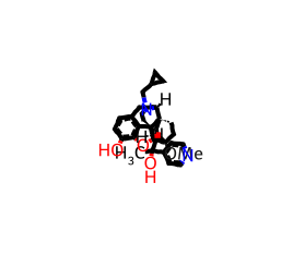 CO[C@]12CC[C@@]3(C[C@@H]1C(C)(O)c1ccncc1)[C@H]1Cc4ccc(O)c5c4[C@@]3(CCN1CC1CC1)[C@H]2O5